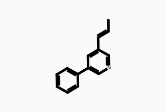 CC=Cc1cncc(-c2c[c]ccc2)c1